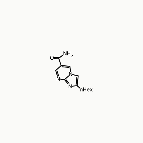 CCCCCCc1cn2cc(C(N)=O)cnc2n1